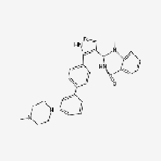 CN1CCN(c2cccc(-c3ccc(-c4[nH]ncc4C4NC(=O)c5ccccc5N4C)cc3)c2)CC1